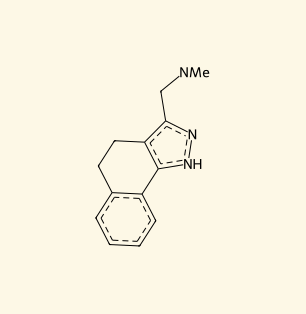 CNCc1n[nH]c2c1CCc1ccccc1-2